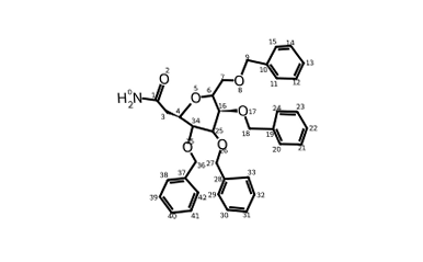 NC(=O)C[C@H]1OC(COCc2ccccc2)[C@@H](OCc2ccccc2)C(OCc2ccccc2)C1OCc1ccccc1